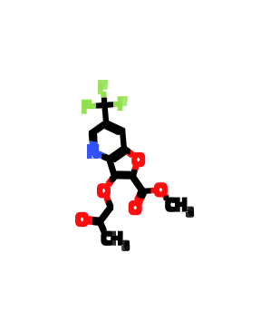 COC(=O)c1oc2cc(C(F)(F)F)cnc2c1OCC(C)=O